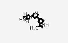 Cc1c[nH]c2ccc(-c3cncc(N4C[C@@H]5CN[C@@H]5C4)c3)cc12